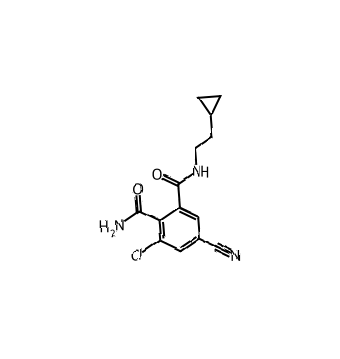 N#Cc1cc(Cl)c(C(N)=O)c(C(=O)NCCC2CC2)c1